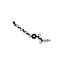 C#CCOCCOCCOCCOc1ccc(C(=O)/C=C/C(=O)OC)cc1